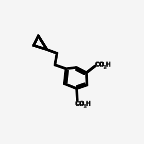 O=C(O)c1cc(CCC2CC2)cc(C(=O)O)c1